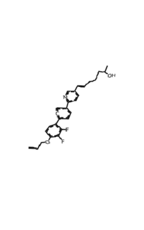 C=CCOc1ccc(-c2ccc(-c3ccc(C=CCCCC(C)O)cn3)cc2)c(F)c1F